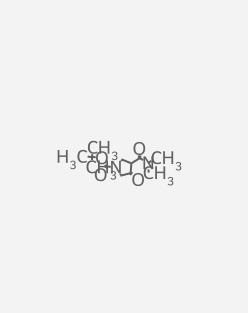 CN(C)C(=O)C1CN(C(=O)OC(C)(C)C)CC1=O